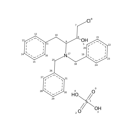 O=S(=O)(O)O.OC(CCl)C(Cc1ccccc1)N(Cc1ccccc1)Cc1ccccc1